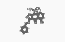 CN(C)[C@H]1c2onc(OCc3ccccc3)c2C(=O)C2=C(O)C=CC[C@H]21